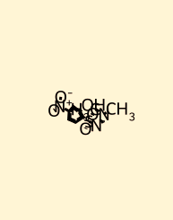 CN(C)/C=N\S(=O)(=O)c1ccc([N+](=O)[O-])cc1O